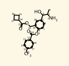 CC(N)C(O)c1ccc(OC(=O)c2ccc(C(F)(F)F)cc2)c(COC(=O)C2CCC2)c1